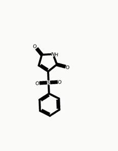 O=C1C=C(S(=O)(=O)c2ccccc2)C(=O)N1